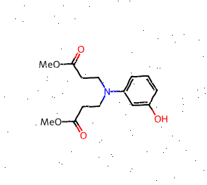 COC(=O)CCN(CCC(=O)OC)c1cccc(O)c1